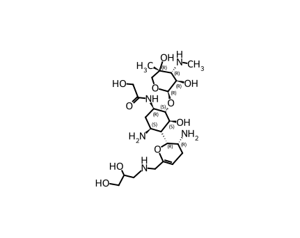 CN[C@@H]1[C@@H](O)[C@@H](O[C@H]2[C@H](NC(=O)CO)C[C@H](N)C([C@H]3OC(CNCC(O)CO)=CC[C@H]3N)[C@@H]2O)OC[C@]1(C)O